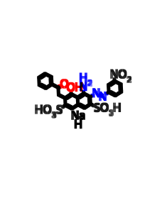 Nc1c(N=Nc2cccc([N+](=O)[O-])c2)c(S(=O)(=O)O)cc2cc(S(=O)(=O)O)c(CC(=O)c3ccccc3)c(O)c12.[NaH]